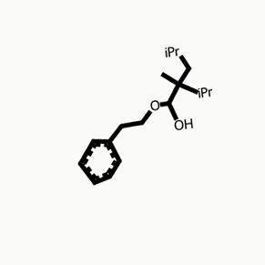 CC(C)CC(C)(C(C)C)C(O)OCCc1ccccc1